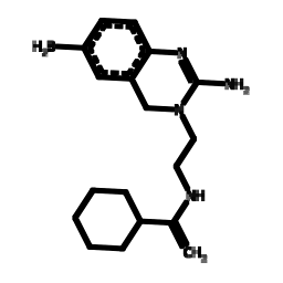 Bc1ccc2c(c1)CN(CCNC(=C)C1CCCCC1)C(N)=N2